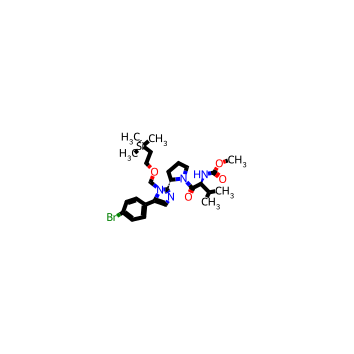 COC(=O)N[C@H](C(=O)N1CCC[C@H]1c1ncc(-c2ccc(Br)cc2)n1COCC[Si](C)(C)C)C(C)C